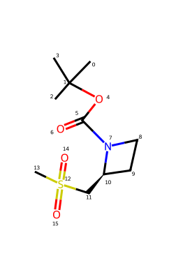 CC(C)(C)OC(=O)N1CC[C@H]1CS(C)(=O)=O